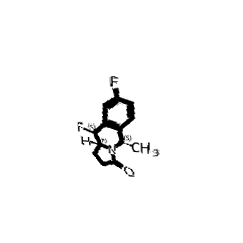 C[C@H]1c2ccc(F)cc2[C@H](F)[C@H]2CCC(=O)N21